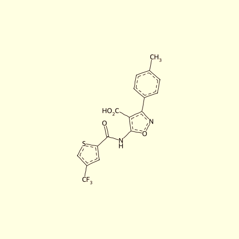 Cc1ccc(-c2noc(NC(=O)c3cc(C(F)(F)F)cs3)c2C(=O)O)cc1